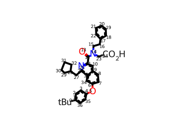 CC(C)(C)c1ccc(Oc2ccc3cc(C(=O)N(CCc4ccccc4)CC(=O)O)nc(CC4CCCC4)c3c2)cc1